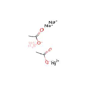 CC(=O)[O-].CC(=O)[O-].[BH4-].[BH4-].[Hg+2].[Na+].[Na+]